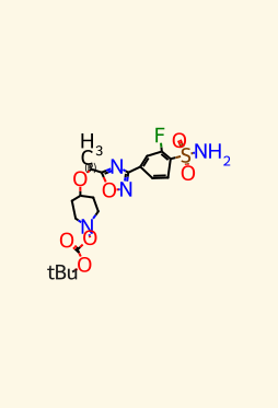 C[C@@H](OC1CCN(OC(=O)OC(C)(C)C)CC1)c1nc(-c2ccc(S(N)(=O)=O)c(F)c2)no1